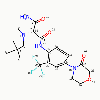 CN(CC(C)(C)C)[C@H](C(N)=O)C(=O)Nc1ccc(N2CCOCC2=O)cc1C(F)(F)F